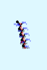 COc1ccc(CC(=O)[C@H](CCCCN)NC(=O)c2cc(CC(=O)[C@H](CCCCN)NC(=O)c3cc(CC(=O)[C@H](CCCCN)NC(=O)c4cc(CC(=O)[C@H](CCCCN)NC(=O)[C@@H](N)Cc5ccccc5)ccc4OC)ccc3OC)ccc2OCC(=O)O)cc1C(N)=O